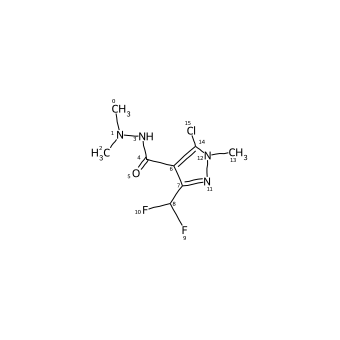 CN(C)NC(=O)c1c(C(F)F)nn(C)c1Cl